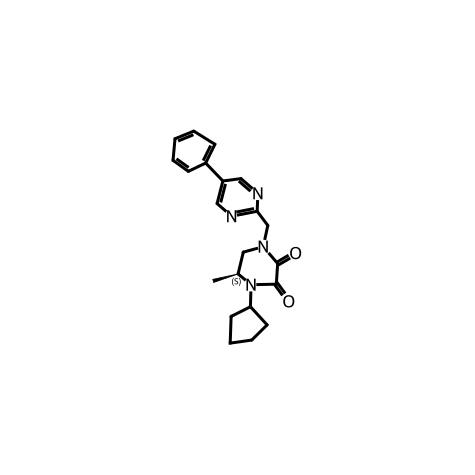 C[C@H]1CN(Cc2ncc(-c3ccccc3)cn2)C(=O)C(=O)N1C1CCCC1